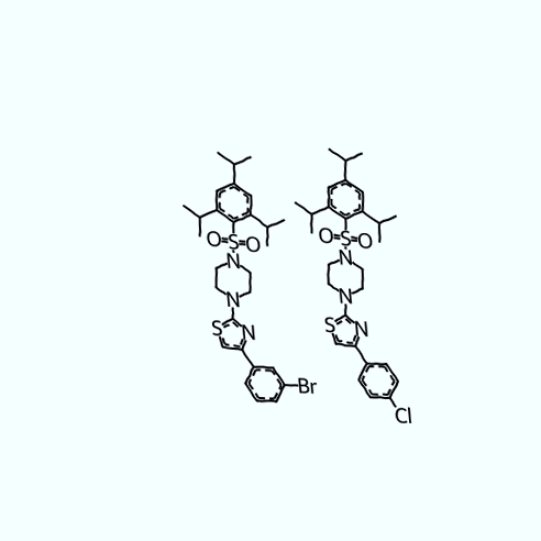 CC(C)c1cc(C(C)C)c(S(=O)(=O)N2CCN(c3nc(-c4ccc(Cl)cc4)cs3)CC2)c(C(C)C)c1.CC(C)c1cc(C(C)C)c(S(=O)(=O)N2CCN(c3nc(-c4cccc(Br)c4)cs3)CC2)c(C(C)C)c1